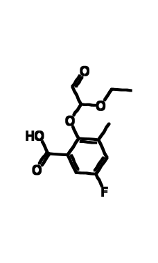 CCOC(C=O)Oc1c(C)cc(F)cc1C(=O)O